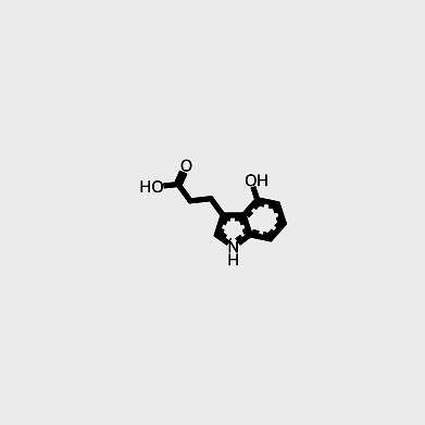 O=C(O)CCc1c[nH]c2cccc(O)c12